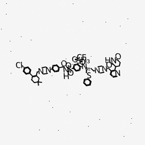 CC1(C)CCC(c2ccc(Cl)cc2)=C(CN2CCN(c3ccc(C(=O)NS(=O)(=O)c4ccc(N[C@H](CCN5CCN(Cc6cccnc6C6CCC(=O)NC6=O)CC5)CSc5ccccc5)c(S(=O)(=O)C(F)(F)F)c4)cc3)CC2)C1